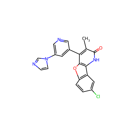 Cc1c(-c2cncc(-n3ccnc3)c2)c2oc3ccc(Cl)cc3c2[nH]c1=O